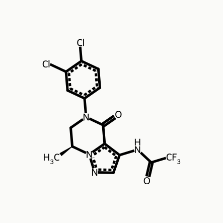 C[C@H]1CN(c2ccc(Cl)c(Cl)c2)C(=O)c2c(NC(=O)C(F)(F)F)cnn21